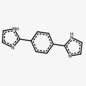 c1c[nH]c(-c2ccc(-c3ncc[nH]3)cc2)n1